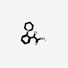 CCC(C(N)=O)c1ccccc1N1CCCCC1